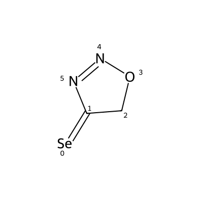 [Se]=C1CON=N1